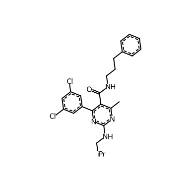 Cc1nc(NCC(C)C)nc(-c2cc(Cl)cc(Cl)c2)c1C(=O)NCCCc1ccccc1